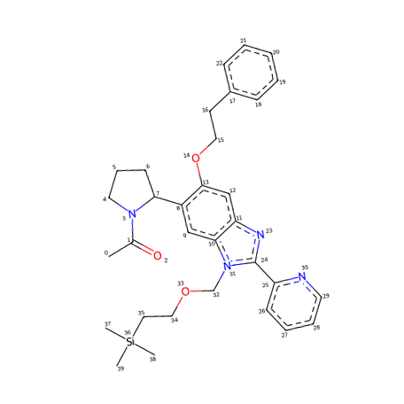 CC(=O)N1CCCC1c1cc2c(cc1OCCc1ccccc1)nc(-c1ccccn1)n2COCC[Si](C)(C)C